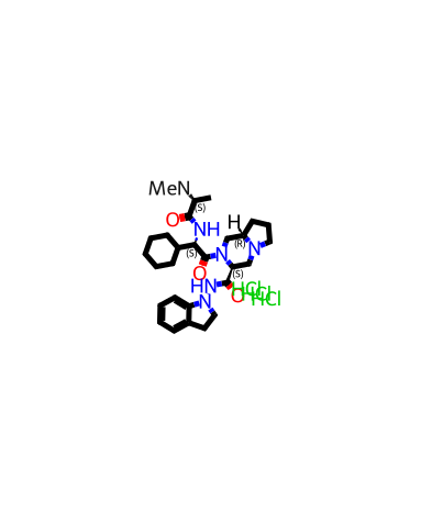 CN[C@@H](C)C(=O)N[C@H](C(=O)N1C[C@H]2CCCN2C[C@H]1C(=O)NN1CCc2ccccc21)C1CCCCC1.Cl.Cl.Cl